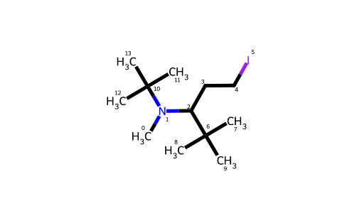 CN(C(CCI)C(C)(C)C)C(C)(C)C